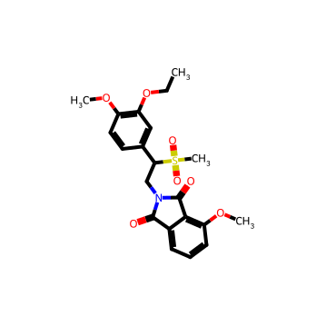 CCOc1cc(C(CN2C(=O)c3cccc(OC)c3C2=O)S(C)(=O)=O)ccc1OC